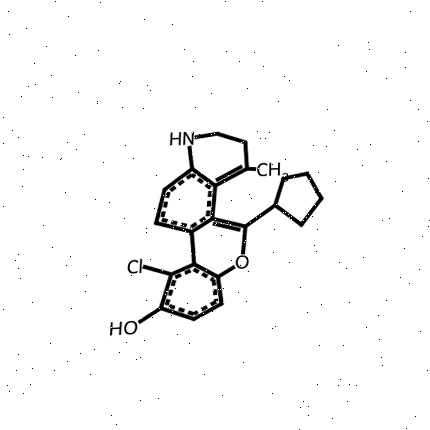 CC1=c2c(ccc3c2=C(C2CCCC2)Oc2ccc(O)c(Cl)c2-3)NCC1